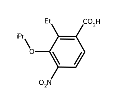 CCc1c(C(=O)O)ccc([N+](=O)[O-])c1OC(C)C